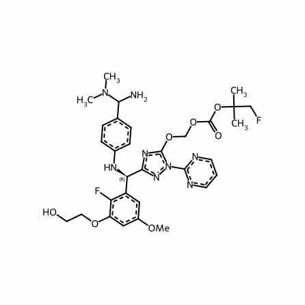 COc1cc(OCCO)c(F)c([C@@H](Nc2ccc(C(N)N(C)C)cc2)c2nc(OCOC(=O)OC(C)(C)CF)n(-c3ncccn3)n2)c1